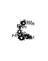 COc1cc(NC(=O)C2CCC(Nc3cccc(N4Cc5cn[nH]c5C4)c3[N+](=O)[O-])CC2)ccc1C